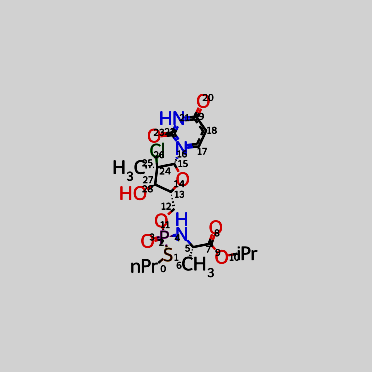 CCCS[P@@](=O)(N[C@@H](C)C(=O)OC(C)C)OC[C@H]1O[C@@H](n2ccc(=O)[nH]c2=O)[C@](C)(Cl)[C@@H]1O